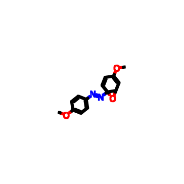 COC1=CC2OC2(N=Nc2ccc(OC)cc2)C=C1